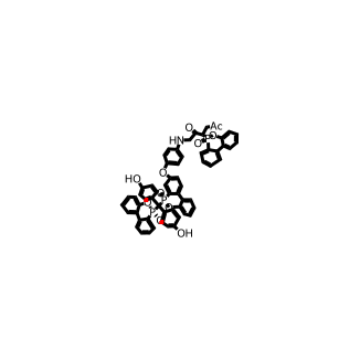 CC(=O)CC(C(=O)CNc1ccc(Oc2ccc3c(c2)P(=O)(C(c2ccc(O)cc2)(c2ccc(O)cc2)P2(=O)Oc4ccccc4-c4ccccc42)Oc2ccccc2-3)cc1)P1(=O)Oc2ccccc2-c2ccccc21